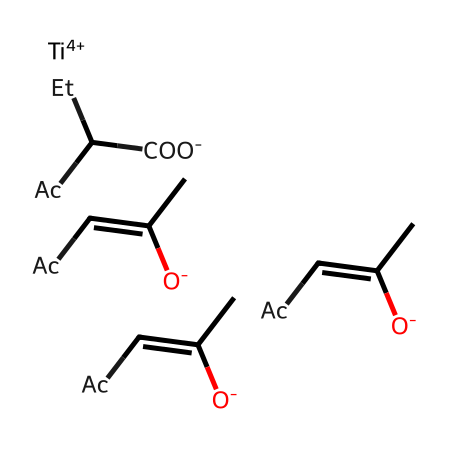 CC(=O)/C=C(/C)[O-].CC(=O)/C=C(/C)[O-].CC(=O)/C=C(/C)[O-].CCC(C(C)=O)C(=O)[O-].[Ti+4]